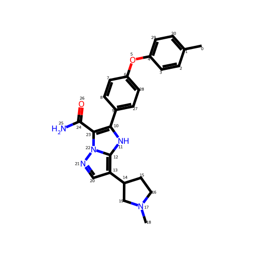 Cc1ccc(Oc2ccc(-c3[nH]c4c(C5CCN(C)C5)cnn4c3C(N)=O)cc2)cc1